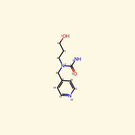 [NH]C(=O)N(CCCO)Cc1ccncc1